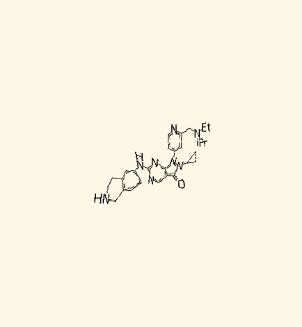 CCN(Cc1cc(-n2c3nc(Nc4ccc5c(c4)CCNC5)ncc3c(=O)n2C2CC2)ccn1)C(C)C